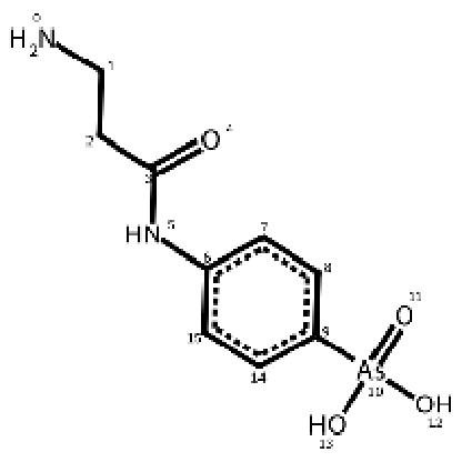 NCCC(=O)Nc1ccc([As](=O)(O)O)cc1